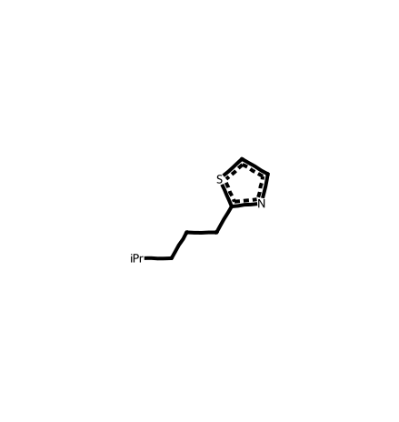 CC(C)CCCc1nccs1